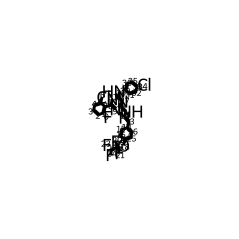 Fc1cccc(Cl)c1-c1nc(NN=Cc2ccc(OC(F)(F)C(F)F)cc2)nc(Nc2ccc(Cl)cc2)n1